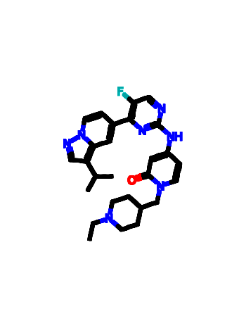 CCN1CCC(Cn2ccc(Nc3ncc(F)c(-c4ccn5ncc(C(C)C)c5c4)n3)cc2=O)CC1